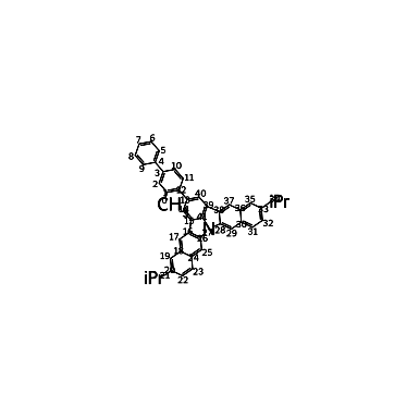 Cc1cc(-c2ccccc2)ccc1-c1cc2c3cc4cc(C(C)C)ccc4cc3n3c4cc5ccc(C(C)C)cc5cc4c(c1)c23